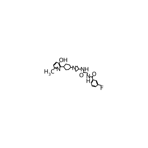 Cc1ccc(O)c(C2CCC(N3CC(NC(=O)CNC(=O)c4cccc(CF)c4)C3)CC2)n1